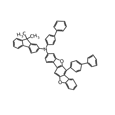 CC1(C)c2ccccc2-c2ccc(N(c3ccc(-c4ccccc4)cc3)c3ccc4c(c3)oc3c(-c5ccc(-c6ccccc6)cc5)c5c(cc34)oc3ccccc35)cc21